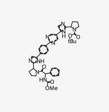 COC(=O)NC(C(=O)N1CCCC1c1ncc(-c2ccc(-c3ncc(-c4cnc(C5CCCN5C(=O)OC(C)(C)C)[nH]4)cn3)cc2)[nH]1)c1ccccc1